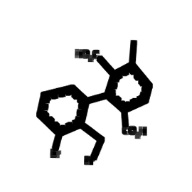 Cc1ccc(C(=O)O)c(-c2cccc(Br)c2CBr)c1C(=O)O